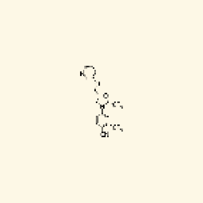 N#Cc1ccc(N2C[C@@H](COc3cccnc3)O[C@@H]2C(F)(F)F)cc1C(F)(F)F